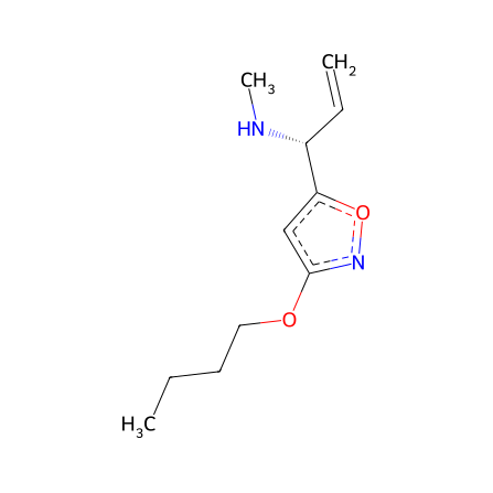 C=C[C@@H](NC)c1cc(OCCCC)no1